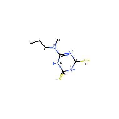 CCCN(C)C1=NC(S)NC(=S)N1